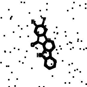 O=C1c2cc(F)c(F)cc2-[n+]2ccc3c([nH]c4ccccc43)c21